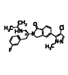 CC(C)NC[C@H](Cc1cccc(F)c1)N1Cc2cc(-c3c(Cl)cnn3C)ccc2C1=O